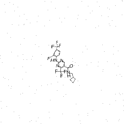 O=C(NCC1CCC1)c1cnc(Nc2ccc(C(F)(F)F)cc2F)nc1C(F)(F)F